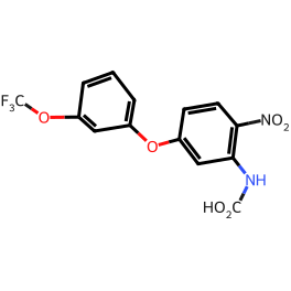 O=C(O)Nc1cc(Oc2cccc(OC(F)(F)F)c2)ccc1[N+](=O)[O-]